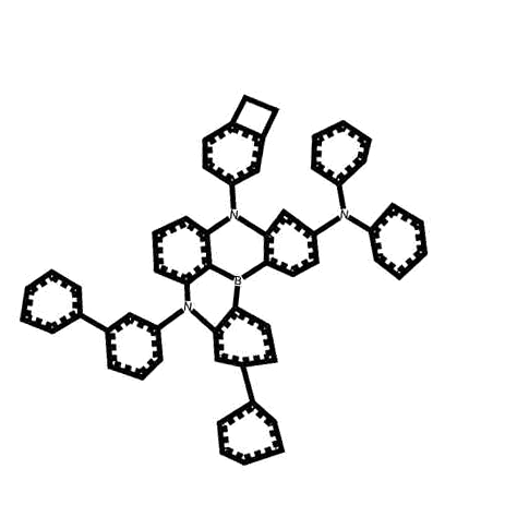 c1ccc(-c2cccc(N3c4cc(-c5ccccc5)ccc4B4c5ccc(N(c6ccccc6)c6ccccc6)cc5N(c5ccc6c(c5)CC6)c5cccc3c54)c2)cc1